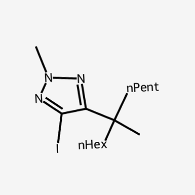 CCCCCCC(C)(CCCCC)c1nn(C)nc1I